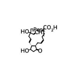 C=CC(O)(C/C=C/[C@H]1[C@H](O)CC(=O)[C@@H]1C/C=C\CCCC(=O)O)CCCCC